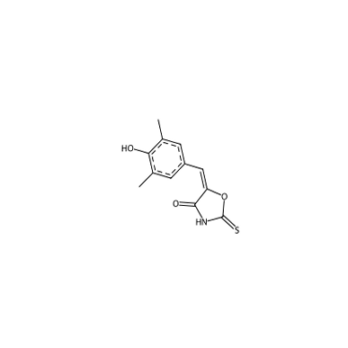 Cc1cc(C=C2OC(=S)NC2=O)cc(C)c1O